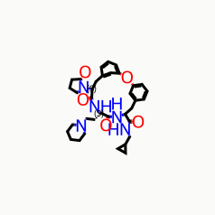 O=C(NCC1CC1)C1Cc2cccc(c2)Oc2cccc(c2)C[C@H](N2CCCC2=O)C(=O)N[C@@H](CCN2CCCCC2)C(=O)N1